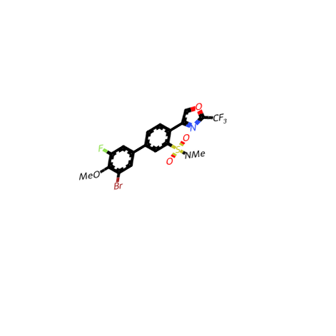 CNS(=O)(=O)c1cc(-c2cc(F)c(OC)c(Br)c2)ccc1-c1coc(C(F)(F)F)n1